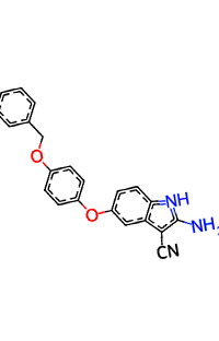 N#Cc1c(N)[nH]c2ccc(Oc3ccc(OCc4ccccc4)cc3)cc12